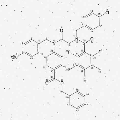 CC(C)(C)c1ccc(CN(C(=O)CN(Cc2ccc(Cl)cc2)[S+]([O-])c2c(F)c(F)c(F)c(F)c2F)c2ccc(C(=O)OCc3ccccc3)cc2)cc1